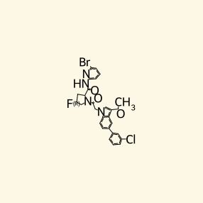 CC(=O)c1cn(CC(=O)N2C[C@H](F)CC2C(=O)Nc2cccc(Br)n2)c2ccc(-c3cccc(Cl)c3)cc12